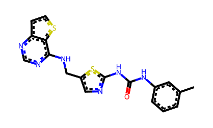 Cc1cccc(NC(=O)Nc2ncc(CNc3ncnc4ccsc34)s2)c1